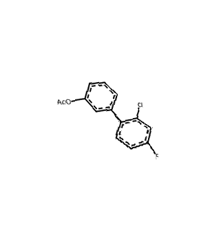 CC(=O)Oc1cccc(-c2ccc(F)[c]c2Cl)c1